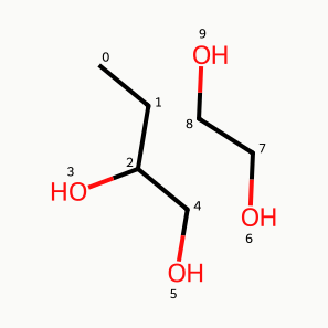 CCC(O)CO.OCCO